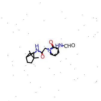 CC1(C)C2CCC1(C)C(NC(=O)Cn1cccc(NC=O)c1=O)C2